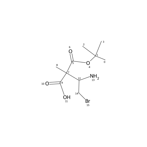 CC(C)(C)OC(=O)C(C)(C(=O)O)C(N)CBr